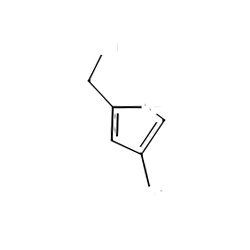 CC(=O)Oc1c[nH]c(CC=O)c1